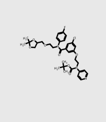 CC(C)(C)OC(=O)N(CCOc1cc(Cl)cc(C(=O)N(CCOCC2COC(C)(C)O2)c2ccc(F)cc2)c1)c1ccncc1